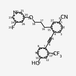 N#Cc1ccc(C#Cc2ccc(O)cc2C(F)(F)F)c(CCCOc2cncc(F)c2)c1